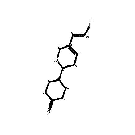 O=C1CCC(C2CC=C(C=CI)CO2)CC1